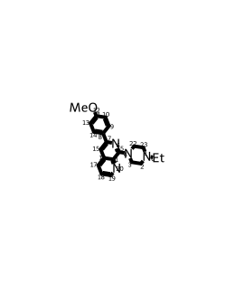 CCN1CCN(c2nc(-c3ccc(OC)cc3)cc3cccnc23)CC1